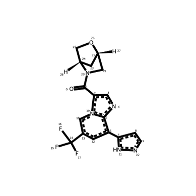 O=C(c1cnc2c(-c3ccn[nH]3)cc(C(F)(F)F)cn12)N1C[C@@H]2C[C@H]1CO2